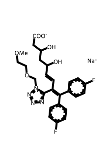 COCCOCn1nnnc1C(/C=C/C(O)CC(O)CC(=O)[O-])=C(c1ccc(F)cc1)c1ccc(F)cc1.[Na+]